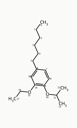 CCCCCCc1ccc(OC(C)C)c(OCC)c1